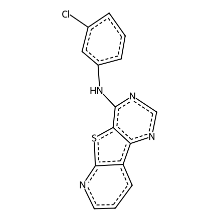 Clc1cccc(Nc2ncnc3c2sc2ncccc23)c1